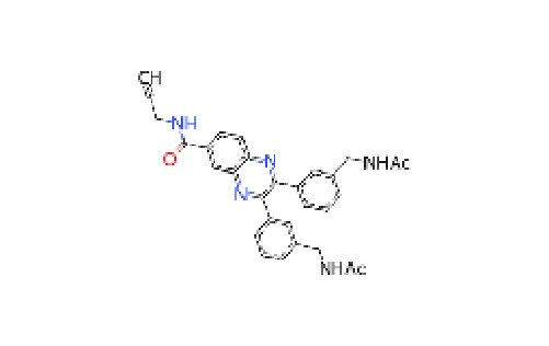 C#CCNC(=O)c1ccc2nc(-c3cccc(CNC(C)=O)c3)c(-c3cccc(CNC(C)=O)c3)nc2c1